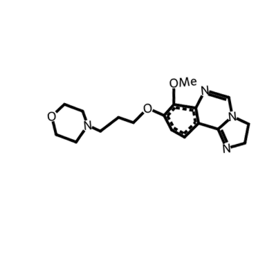 COc1c(OCCCN2CCOCC2)ccc2c1N=CN1CCN=C21